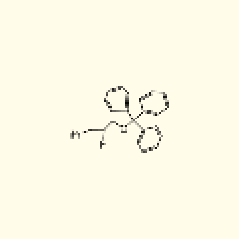 CC(C)CC(F)COC(c1ccccc1)(c1ccccc1)c1ccccc1